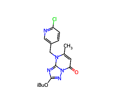 Cc1cc(=O)n2nc(OCC(C)C)nc2n1Cc1ccc(Cl)nc1